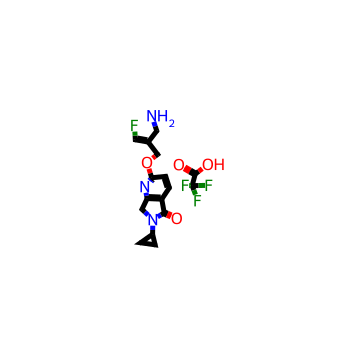 NCC(=CF)COc1ccc2c(n1)CN(C1CC1)C2=O.O=C(O)C(F)(F)F